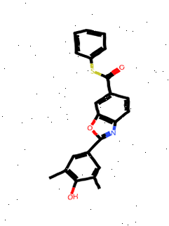 Cc1cc(-c2nc3ccc(C(=O)Sc4ccccc4)cc3o2)cc(C)c1O